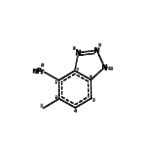 CCCc1c(C)ccc2c1N=N[N]2